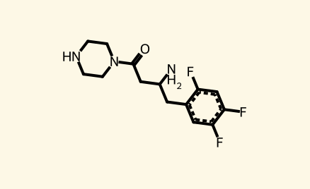 NC(CC(=O)N1CCNCC1)Cc1cc(F)c(F)cc1F